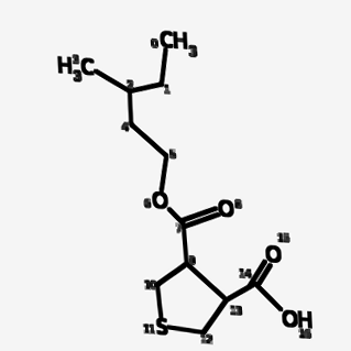 CCC(C)CCOC(=O)C1CSCC1C(=O)O